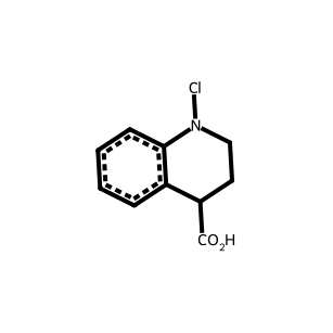 O=C(O)C1CCN(Cl)c2ccccc21